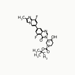 Cc1cn2cc(-c3cc(F)c4c(=O)n([C@H]5CN(C(=O)OC(C)(C)C)CC[C@@H]5O)cnc4c3)cc(F)c2n1